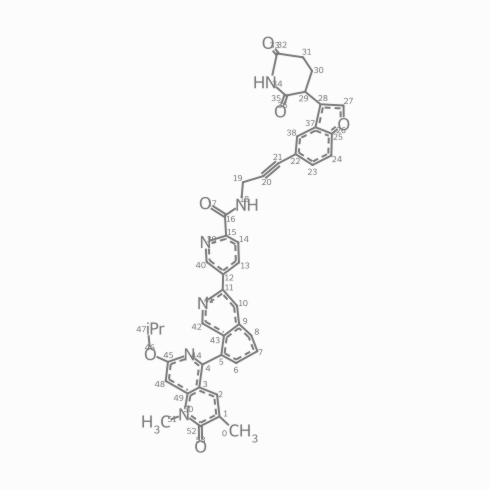 Cc1cc2c(-c3cccc4cc(-c5ccc(C(=O)NCC#Cc6ccc7occ(C8CCC(=O)NC8=O)c7c6)nc5)ncc34)nc(OC(C)C)cc2n(C)c1=O